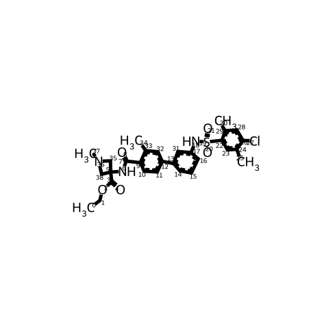 CCOC(=O)C1(NC(=O)c2ccc(-c3cccc(NS(=O)(=O)c4cc(C)c(Cl)cc4C)c3)cc2C)CN(C)C1